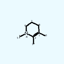 CC1=C(C)N(I)CCC1